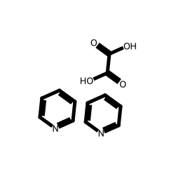 O=C(O)C(=O)O.c1ccncc1.c1ccncc1